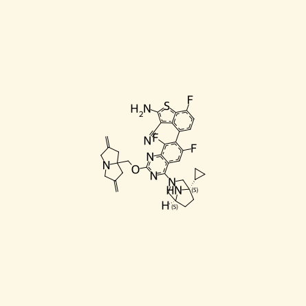 C=C1CN2CC(=C)CC2(COc2nc(N3C[C@@H]4CC[C@](C5CC5)(C3)N4)c3cc(F)c(-c4ccc(F)c5sc(N)c(C#N)c45)c(F)c3n2)C1